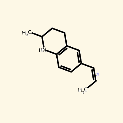 C/C=C\c1ccc2c(c1)CCC(C)N2